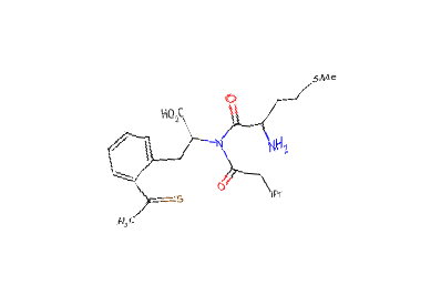 CSCCC(N)C(=O)N(C(=O)CC(C)C)C(Cc1ccccc1C(C)=S)C(=O)O